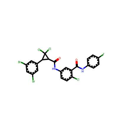 O=C(Nc1ccc(F)cc1)c1cc(NC(=O)C2C(c3cc(Br)cc(Br)c3)C2(Cl)Cl)ccc1Cl